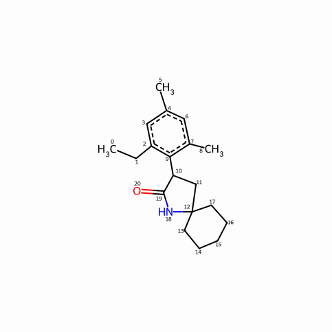 CCc1cc(C)cc(C)c1C1CC2(CCCCC2)NC1=O